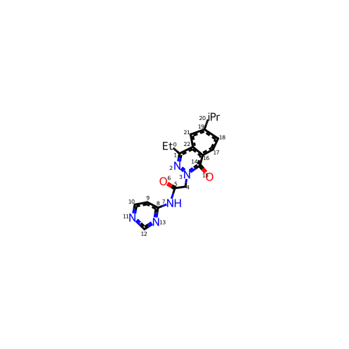 CCc1nn(CC(=O)Nc2ccncn2)c(=O)c2ccc(C(C)C)cc12